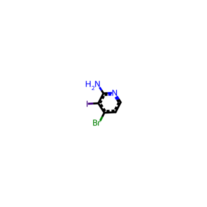 Nc1nccc(Br)c1I